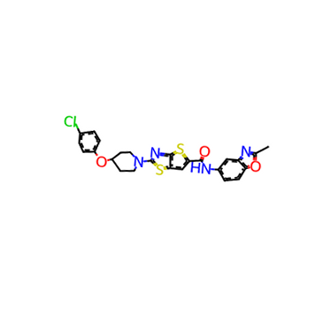 Cc1nc2cc(NC(=O)c3cc4sc(N5CCC(Oc6ccc(Cl)cc6)CC5)nc4s3)ccc2o1